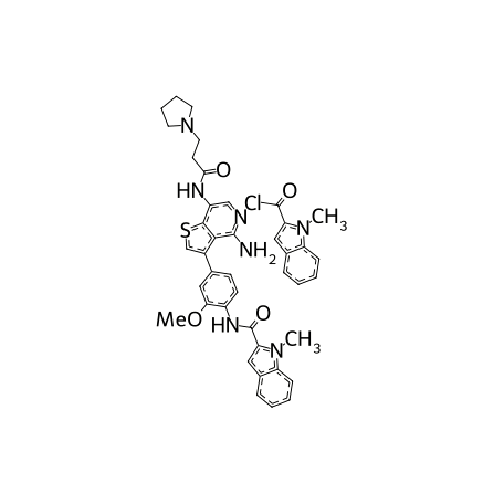 COc1cc(-c2csc3c(NC(=O)CCN4CCCC4)cnc(N)c23)ccc1NC(=O)c1cc2ccccc2n1C.Cn1c(C(=O)Cl)cc2ccccc21